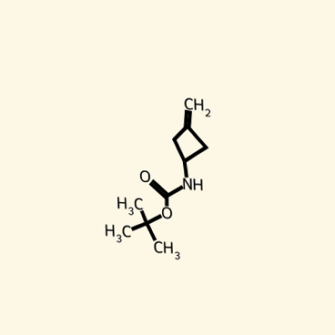 C=C1CC(NC(=O)OC(C)(C)C)C1